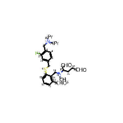 CC(C)N(Cc1ccc(CSc2cccc(C=O)c2CN(C)C(C=O)CCC=O)cc1F)C(C)C